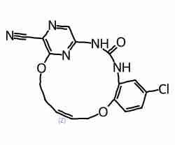 N#Cc1ncc2nc1OCC/C=C\COc1ccc(Cl)cc1NC(=O)N2